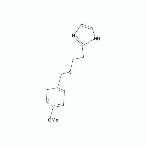 COc1ccc(CSCCc2ncc[nH]2)cc1